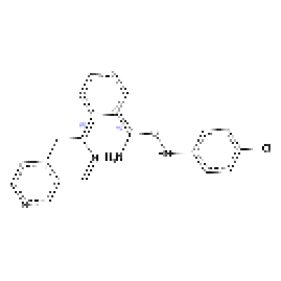 C=N/C(Cc1ccncc1)=c1/cccc/c1=C(/N)ONc1ccc(Cl)cc1